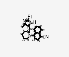 CCc1nc(C)c(CN2CCCCN2c2ccc(C#N)c3ccccc23)[nH]1